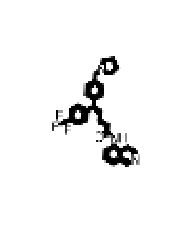 O=C(C=CC=C(c1ccc(CN2CCCC2)cc1)c1ccc(C(F)(F)F)cc1)Nc1cccc2cnccc12